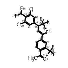 CC(=O)c1ccc(/C(F)=C/C(c2cc(Cl)c(C(F)F)c(Cl)c2)C(F)(F)F)cc1C(F)(F)F